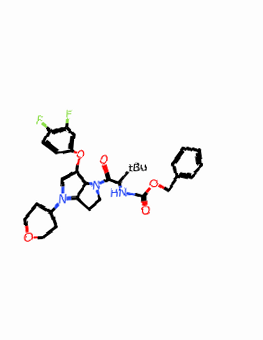 CC(C)(C)C(NC(=O)OCc1ccccc1)C(=O)N1CCC2C1C(Oc1ccc(F)c(F)c1)CN2C1CCOCC1